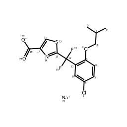 CC(C)COc1ccc(Cl)cc1C(F)(F)c1nc(C(=O)[O-])cs1.[Na+]